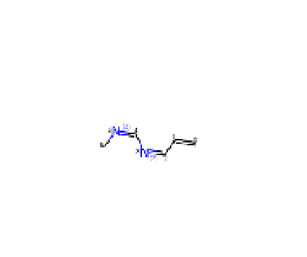 C=C/C=N\C=N/C